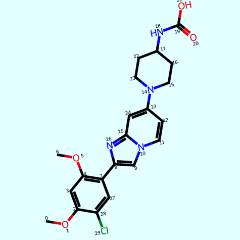 COc1cc(OC)c(-c2cn3ccc(N4CCC(NC(=O)O)CC4)cc3n2)cc1Cl